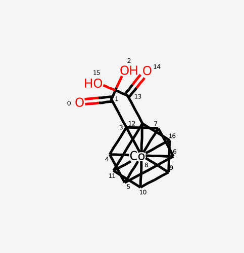 O=C(O)[C]12[CH]3[CH]4[CH]5[CH]1[Co]45321678[CH]2[CH]1[CH]6[C]7(C(=O)O)[CH]28